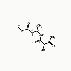 CCC(C(N)=O)C(=O)NC(C)NC(=O)CCl